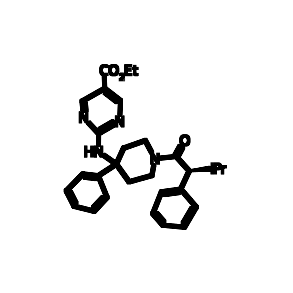 CCOC(=O)c1cnc(NC2(c3ccccc3)CCN(C(=O)[C@H](c3ccccc3)C(C)C)CC2)nc1